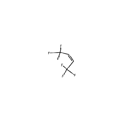 FC(F)(F)/C=C\C(F)(F)F